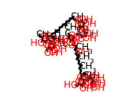 C=C[C@](C)(CC/C=C/CC/C=C(\C)CC/C=C(/C)COC1OC(C)C(OC2OC(COC3OC(C)C(O)C(O)C3OC(=O)/C(C)=C/C(O)C/C(C)=C/CC/C(C)=C/CC[C@@](C)(C=C)OC3OC(CO)C(O)C(O)C3OC3OC(CO)C(O)C(O)C3O)C(O)C(O)C2O)C(O)C1O)OC1OC(CC)C(O)C(O)C1OC1OC(CO)C(O)C(O)C1O